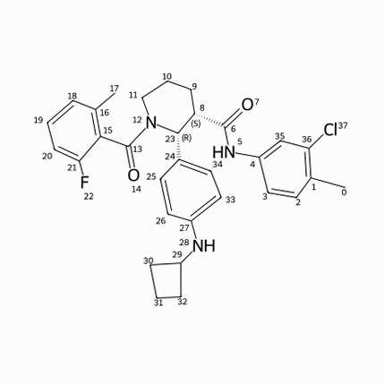 Cc1ccc(NC(=O)[C@H]2CCCN(C(=O)c3c(C)cccc3F)[C@H]2c2ccc(NC3CCC3)cc2)cc1Cl